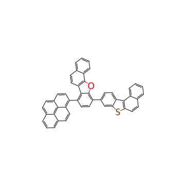 c1ccc2c(c1)ccc1c2oc2c(-c3ccc4c(c3)sc3ccc5ccccc5c34)ccc(-c3ccc4ccc5cccc6ccc3c4c56)c21